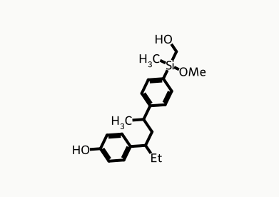 CCC(CC(C)c1ccc([Si](C)(CO)OC)cc1)c1ccc(O)cc1